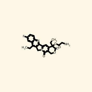 CCc1c2c(nc3ccc(F)cc13)-c1cc3c(c(=O)n1C2)COC(=O)C3(CC)OC(=O)CN